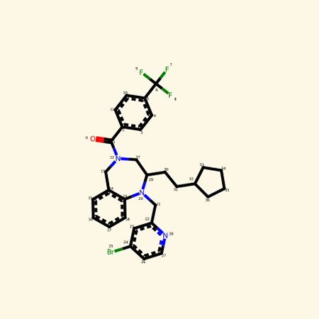 O=C(c1ccc(C(F)(F)F)cc1)N1Cc2ccccc2N(Cc2cc(Br)ccn2)C(CCC2CCCC2)C1